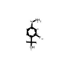 CC(C)(O)c1ccc(SN)cc1F